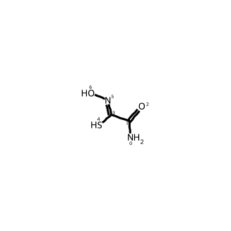 NC(=O)C(S)=NO